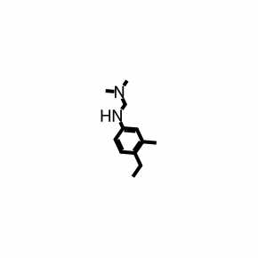 CCc1ccc(NCN(C)C)cc1C